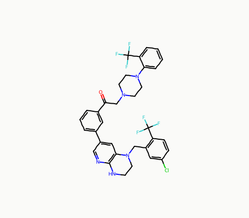 O=C(CN1CCN(c2ccccc2C(F)(F)F)CC1)c1cccc(-c2cnc3c(c2)N(Cc2cc(Cl)ccc2C(F)(F)F)CCN3)c1